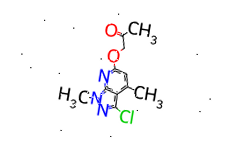 CC(=O)COc1cc(C)c2c(Cl)nn(C)c2n1